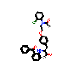 COC(=O)[C@H](Cc1ccc(OCCN(C(=O)C(C)C)c2ccccc2Cl)cc1)Nc1ccccc1C(=O)c1ccccc1